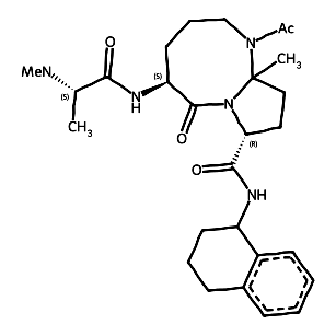 CN[C@@H](C)C(=O)N[C@H]1CCCN(C(C)=O)C2(C)CC[C@H](C(=O)NC3CCCc4ccccc43)N2C1=O